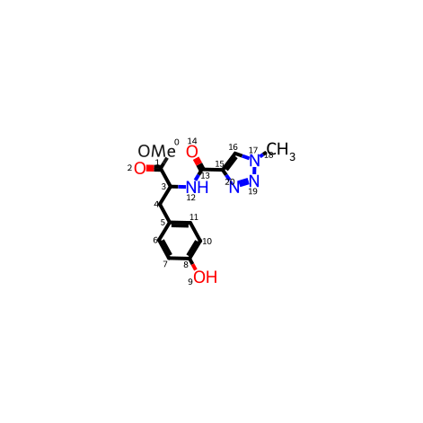 COC(=O)C(Cc1ccc(O)cc1)NC(=O)c1cn(C)nn1